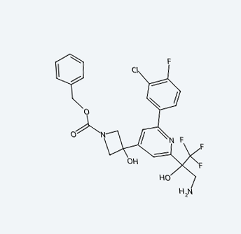 NCC(O)(c1cc(C2(O)CN(C(=O)OCc3ccccc3)C2)cc(-c2ccc(F)c(Cl)c2)n1)C(F)(F)F